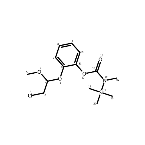 COC(CCl)Oc1ccccc1OC(=O)N(C)[Si](C)(C)C